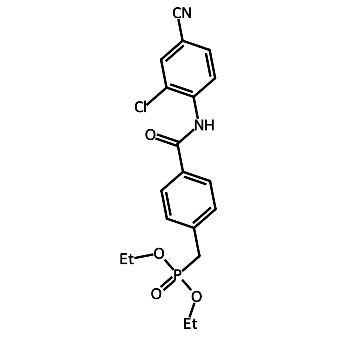 CCOP(=O)(Cc1ccc(C(=O)Nc2ccc(C#N)cc2Cl)cc1)OCC